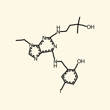 CCn1cnc2c(NCc3cc(I)ccc3O)nc(NCCC(C)(C)O)nc21